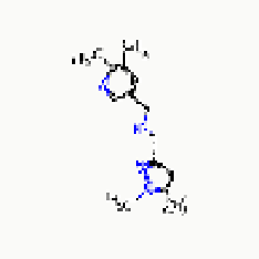 Cc1cc(CNCc2cc(C)n(C)n2)cnc1C